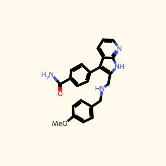 COc1ccc(CNCc2[nH]c3ncccc3c2-c2ccc(C(N)=O)cc2)cc1